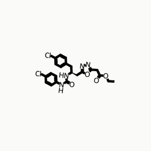 CCOC(=O)Cc1nnc(C[C@H](Cc2ccc(Cl)cc2)NC(=O)Nc2ccc(Cl)cc2)o1